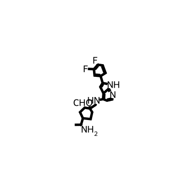 CC(N)C1CCC(C=O)(CNc2ccnc3[nH]c(-c4ccc(F)c(F)c4)cc23)CC1